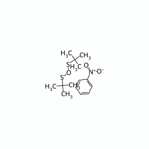 CC(C)(C)SOSC(C)(C)C.O=[N+]([O-])c1ccccc1